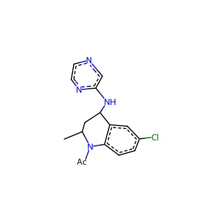 CC(=O)N1c2ccc(Cl)cc2C(Nc2cnccn2)CC1C